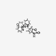 O=C(NC1(c2ccccc2)CCOc2cccnc21)c1ccc2[nH]c(=O)oc2c1